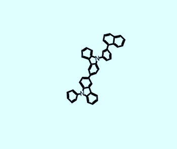 c1ccc(-n2c3ccccc3c3cc(-c4ccc5c(c4)c4ccccc4n5-c4cccc(-c5cccc6ccccc56)c4)ccc32)cc1